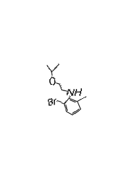 Cc1cccc(Br)c1NCCOC(C)C